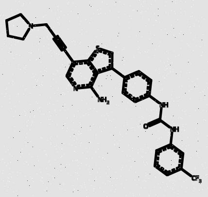 Nc1ncc(C#CCN2CCCC2)c2scc(-c3ccc(NC(=O)Nc4cccc(C(F)(F)F)c4)cc3)c12